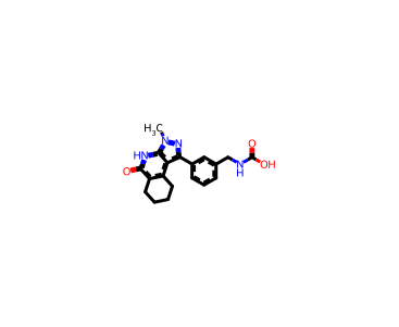 Cn1nc(-c2cccc(CNC(=O)O)c2)c2c3c(c(=O)[nH]c21)CCCC3